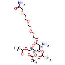 CC(=O)OC[C@H]1O[C@@H](OCCOCCOCCOCC(N)=O)[C@H](N)[C@@H](OC(C)=O)[C@H]1OC(C)=O